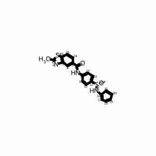 Cc1nc2cc(C(=O)Nc3ccc([S+]([O-])Nc4ccccc4)cc3)ccc2s1